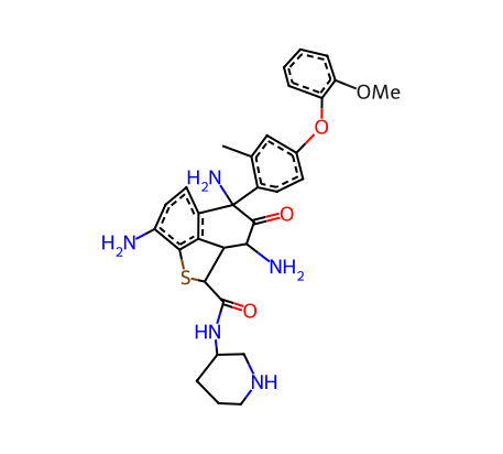 COc1ccccc1Oc1ccc(C2(N)C(=O)C(N)C3c4c2ccc(N)c4SC3C(=O)NC2CCCNC2)c(C)c1